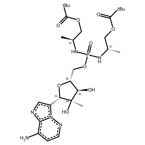 C[C@@H](COC(=O)C(C)(C)C)NP(=O)(N[C@@H](C)COC(=O)C(C)(C)C)OC[C@H]1O[C@@H](c2cnc3c(N)ccnn23)[C@](C)(O)[C@@H]1O